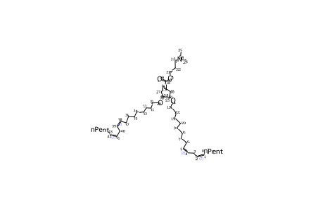 CCCCC/C=C\C/C=C\CCCCCCCCO[C@@H]1CN(C(=O)OCCCN(C)C)C[C@H]1OCCCCCCCC/C=C\C/C=C\CCCCC